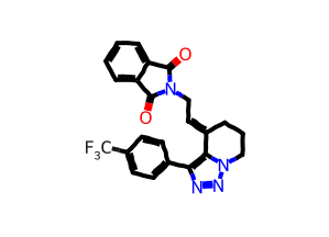 O=C1c2ccccc2C(=O)N1CC=C1CCCn2nnc(-c3ccc(C(F)(F)F)cc3)c21